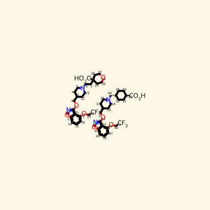 O=C(O)C1(CCN2CCC(COc3noc4cccc(OCC(F)(F)F)c34)CC2)CCOCC1.O=C(O)[C@H]1CC[C@H](CN2CCC(COc3noc4cccc(OCC(F)(F)F)c34)CC2)CC1